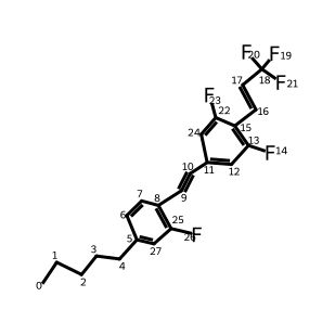 CCCCCc1ccc(C#Cc2cc(F)c(/C=C/C(F)(F)F)c(F)c2)c(F)c1